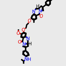 COc1cc2c(cc1OCCCOc1cc3c(cc1C)C(=O)N1C=C(c4ccc(C)cc4)C[C@H]1C=N3)N=C[C@@H]1CC(c3ccc(NC(C)C)cc3)=CN1C2=O